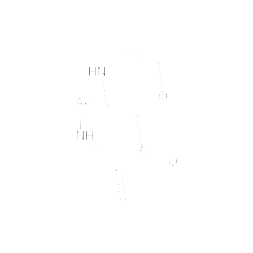 C=CC(=O)C1CNCCO1.CC(N)=O